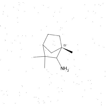 CC1(C)C2CC[C@@](C)(C2)C1N